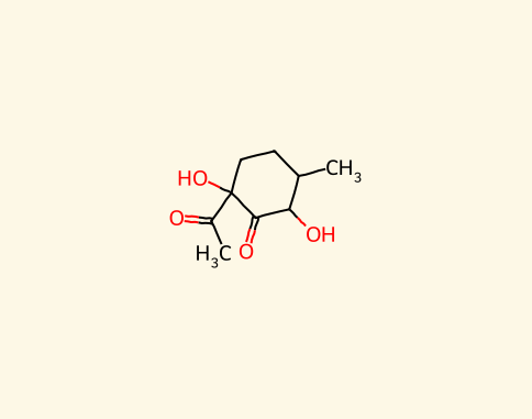 CC(=O)C1(O)CCC(C)C(O)C1=O